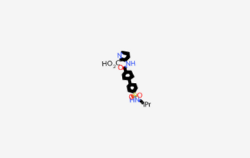 CC(C)CNS(=O)(=O)c1ccc(-c2ccc(C(=O)Nc3cccnc3C(=O)O)cc2)cc1